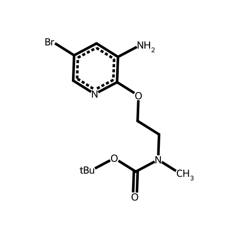 CN(CCOc1ncc(Br)cc1N)C(=O)OC(C)(C)C